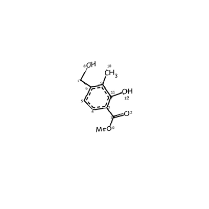 COC(=O)c1ccc(CO)c(C)c1O